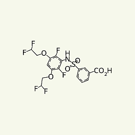 O=C(O)c1cccc(S(=O)(=O)Nc2c(F)c(OCC(F)F)cc(OCC(F)F)c2F)c1